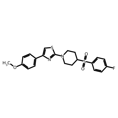 COc1ccc(-c2csc(N3CCC(S(=O)(=O)c4ccc(F)cc4)CC3)n2)cc1